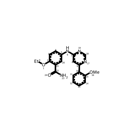 CCOc1ccc(Nc2cc(-c3ccccc3OC)ncn2)cc1C(N)=O